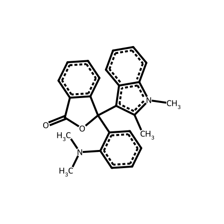 Cc1c(C2(c3ccccc3N(C)C)OC(=O)c3ccccc32)c2ccccc2n1C